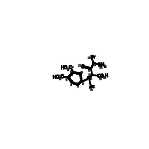 CC(=O)N(c1ccc(C(=O)O)c(C(=O)O)c1)C(C(=O)O)C(=O)C(N)C(C)C